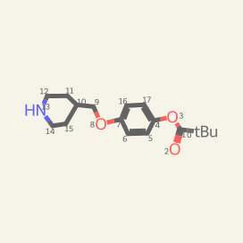 CC(C)(C)C(=O)Oc1ccc(OCC2CCNCC2)cc1